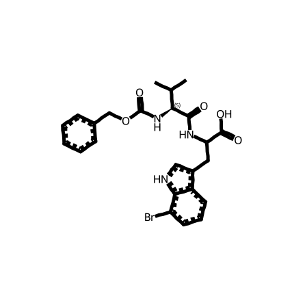 CC(C)[C@H](NC(=O)OCc1ccccc1)C(=O)NC(Cc1c[nH]c2c(Br)cccc12)C(=O)O